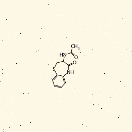 CC(=O)NC1CSc2ccccc2NC1=O